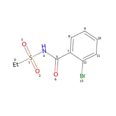 CCS(=O)(=O)NC(=O)c1ccccc1Br